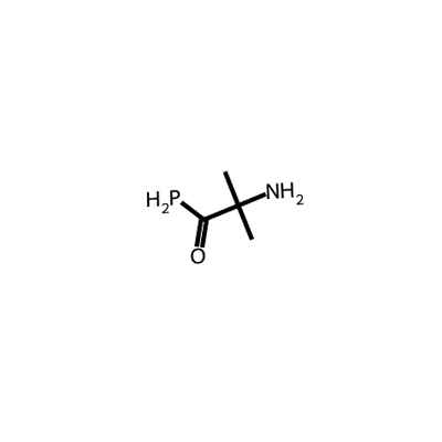 CC(C)(N)C(=O)P